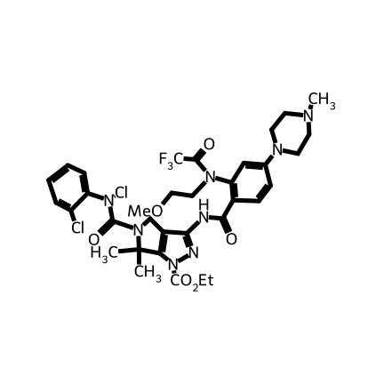 CCOC(=O)n1nc(NC(=O)c2ccc(N3CCN(C)CC3)cc2N(CCOC)C(=O)C(F)(F)F)c2c1C(C)(C)N(C(=O)N(Cl)c1ccccc1Cl)C2